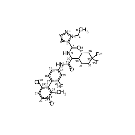 CCn1nccc1C(=O)NC(C(=O)Nc1ccc(-c2c(Cl)cc[n+]([O-])c2C)c(F)c1)C1CCC(F)(F)CC1